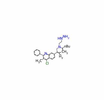 C=C(CN(CCNN)C(=C)CCCC)c1ccc2c(Cl)c(C)c(-c3ccccc3)nc2c1